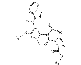 COC(=O)c1scc2[nH]c(=O)n(-c3cc(C(=O)n4ccc5ccccc54)c(OC)cc3F)c(=O)c12